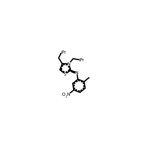 Cc1ccc([N+](=O)[O-])cc1N=c1scc(CC(C)C)n1CC(C)C